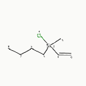 C=C[Si](C)(Cl)CCCC